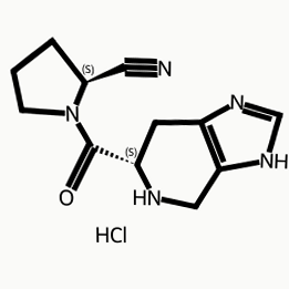 Cl.N#C[C@@H]1CCCN1C(=O)[C@@H]1Cc2nc[nH]c2CN1